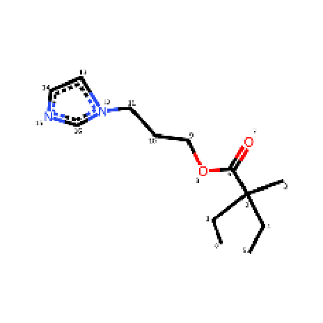 CCC(C)(CC)C(=O)OCCCn1ccnc1